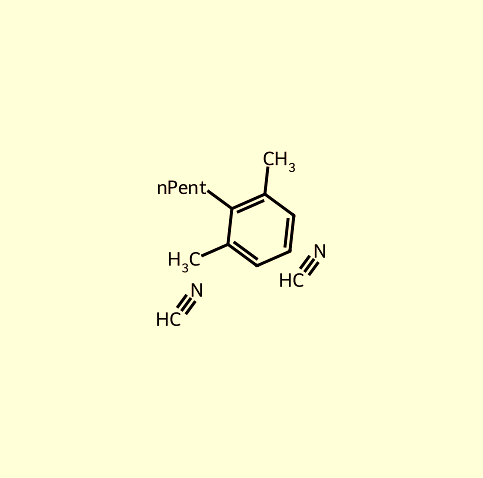 C#N.C#N.CCCCCc1c(C)cccc1C